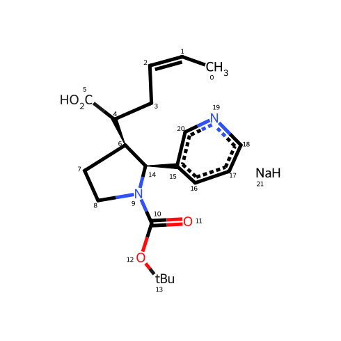 C/C=C\CC(C(=O)O)[C@@H]1CCN(C(=O)OC(C)(C)C)[C@@H]1c1cccnc1.[NaH]